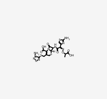 CC(O/N=C(\C(=O)N[C@@H]1C(=O)N2C(C(=O)O)=C(CSc3nnnn3N)CS[C@@H]12)c1csc(N)n1)C(=O)O